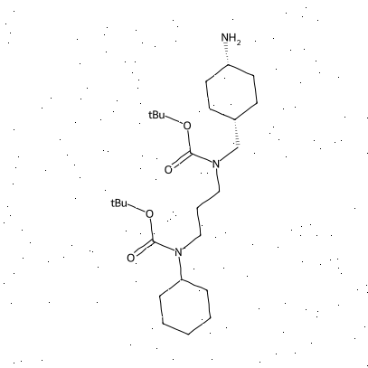 CC(C)(C)OC(=O)N(CCCN(C(=O)OC(C)(C)C)C1CCCCC1)C[C@H]1CC[C@@H](N)CC1